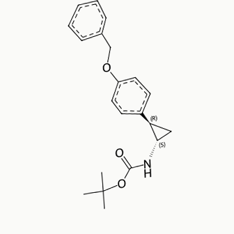 CC(C)(C)OC(=O)N[C@H]1C[C@@H]1c1ccc(OCc2ccccc2)cc1